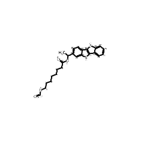 CC(OC(=O)CCCCCCCOC=O)c1ccc2c(c1)sc1c3ccccc3sc21